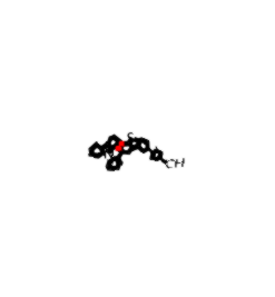 C#Cc1ccc(-c2ccc3sc4ccc(-c5ccccc5-n5c6ccccc6c6ccccc65)cc4c3c2)cc1